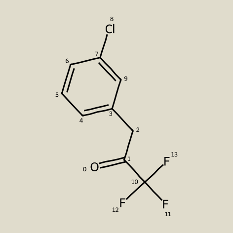 O=C(Cc1cccc(Cl)c1)C(F)(F)F